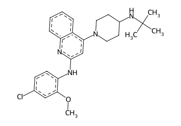 COc1cc(Cl)ccc1Nc1cc(N2CCC(NC(C)(C)C)CC2)c2ccccc2n1